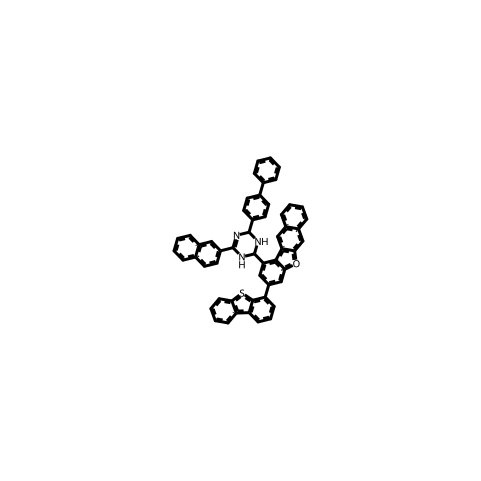 c1ccc(-c2ccc(C3N=C(c4ccc5ccccc5c4)NC(c4cc(-c5cccc6c5sc5ccccc56)cc5oc6cc7ccccc7cc6c45)N3)cc2)cc1